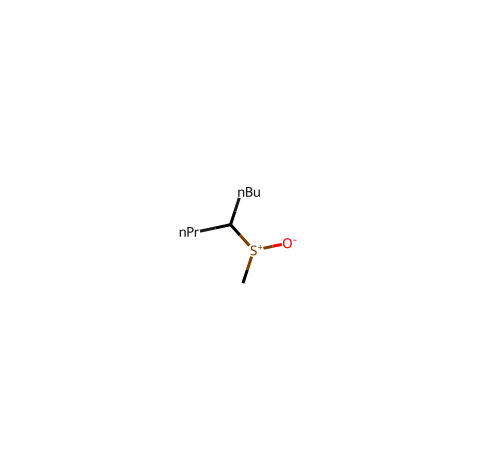 CCCCC(CCC)[S+](C)[O-]